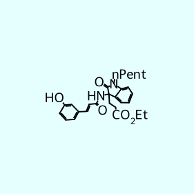 CCCCCN1C(=O)C(CCC(=O)OCC)(NC(=O)/C=C/c2cccc(O)c2)c2ccccc21